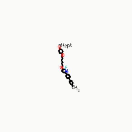 CCCCCCCOC1CCC(OCCCCCCOc2ccc(-c3ccc(-c4ccc(C)cc4)cc3)nc2F)CC1